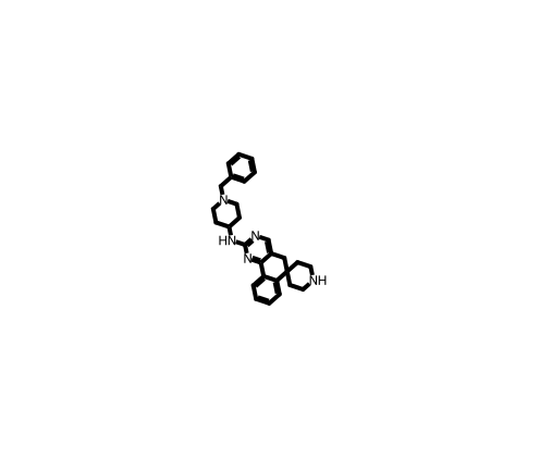 c1ccc(CN2CCC(Nc3ncc4c(n3)-c3ccccc3C3(CCNCC3)C4)CC2)cc1